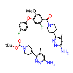 COc1cc(C(=O)N2CCC(c3nnc(N)cc3C)CC2)c(F)cc1Oc1ccc(F)cc1.Cc1cc(N)nnc1C1=CCN(C(=O)OC(C)(C)C)CC1